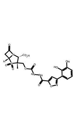 C[C@]1(COC(=O)NNC(=O)c2cc(-c3cccc(O)c3O)no2)[C@@H](C(=O)O)N2C(=O)C[C@H]2S1(=O)=O